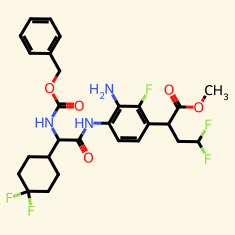 COC(=O)C(CC(F)F)c1ccc(NC(=O)C(NC(=O)OCc2ccccc2)C2CCC(F)(F)CC2)c(N)c1F